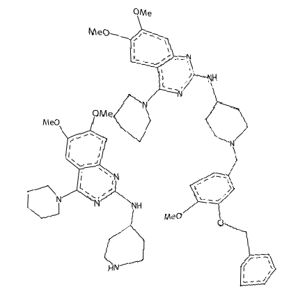 COc1cc2nc(NC3CCN(Cc4ccc(OC)c(OCc5ccccc5)c4)CC3)nc(N3CCCCC3)c2cc1OC.COc1cc2nc(NC3CCNCC3)nc(N3CCCCC3)c2cc1OC